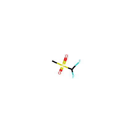 CS(=O)(=O)C(F)F